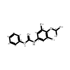 O=C(Nc1cc(F)c(OC(F)F)c(F)c1)Oc1ccccc1